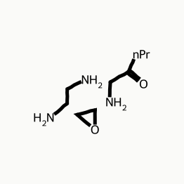 C1CO1.CCCC(=O)CN.NCCN